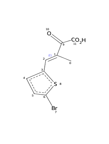 C/C(=C\c1ccc(Br)s1)C(=O)C(=O)O